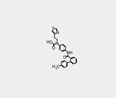 Cc1ccc(-c2ccccc2C(=O)Nc2ccc(N(CCc3cscn3)C(=O)O)cc2)cc1